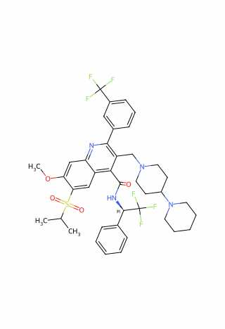 COc1cc2nc(-c3cccc(C(F)(F)F)c3)c(CN3CCC(N4CCCCC4)CC3)c(C(=O)N[C@H](c3ccccc3)C(F)(F)F)c2cc1S(=O)(=O)C(C)C